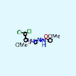 COc1ccc(-c2cc(Cl)cc(Cl)c2)cc1SNc1cccc(NCCNC(=O)c2ccccc2OC)c1